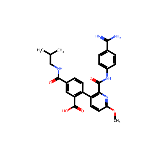 COc1ccc(-c2ccc(C(=O)NCC(C)C)cc2C(=O)O)c(C(=O)Nc2ccc(C(=N)N)cc2)n1